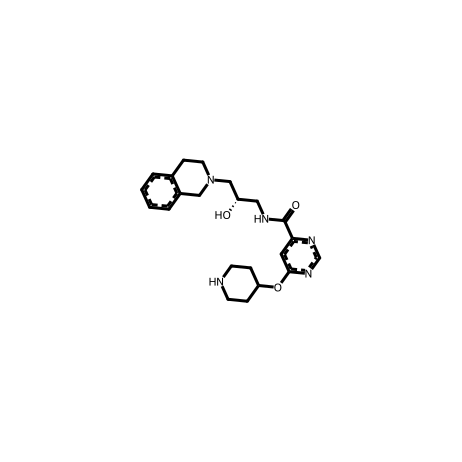 O=C(NC[C@H](O)CN1CCc2ccccc2C1)c1cc(OC2CCNCC2)ncn1